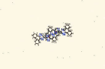 c1ccc2c(c1)c1ccccc1c1nc(-c3cnc(-c4cccc5c6ccccc6n(-n6c7ccccc7c7cccc(-c8cnc(-c9cnc%10c%11ccccc%11c%11ccccc%11c%10n9)cn8)c76)c45)cn3)cnc21